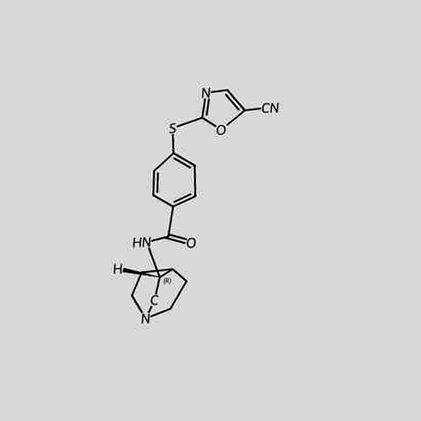 N#Cc1cnc(Sc2ccc(C(=O)N[C@H]3CN4CCC3CC4)cc2)o1